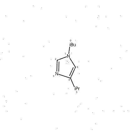 CCC(C)n1cnc(C(C)C)c1